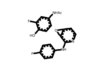 CC(=O)Nc1ccc(O)c(F)c1.Fc1ccc(Nc2nccc3c2O3)cc1